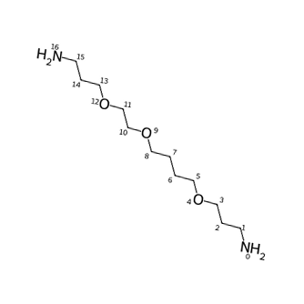 NCCCOCCCCOCCOCCCN